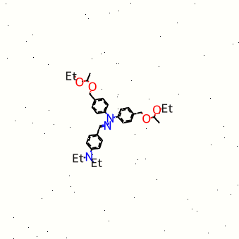 CCOC(C)OCc1ccc(N(N=Cc2ccc(N(CC)CC)cc2)c2ccc(COC(C)OCC)cc2)cc1